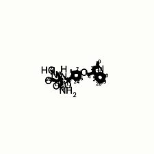 Cc1cc(COc2ccc(C(=O)NC3(CC(N)=O)CC(=O)N(O)C3)cc2)c2ccccc2n1